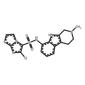 CN1CCc2c([nH]c3c(NS(=O)(=O)c4c(Cl)nc5sccn45)cccc23)C1